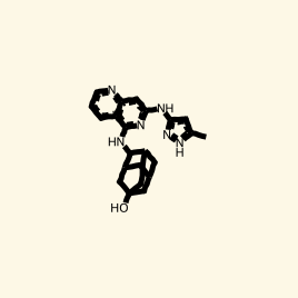 Cc1cc(Nc2cc3ncccc3c(NC3C4CC5CC3CC(O)(C5)C4)n2)n[nH]1